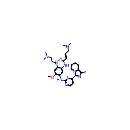 COc1cc(N(C)CCN(C)C)c(NC(=O)/C=C/CN(C)C)cc1Nc1nccc(-c2nc(C)c3ccccn23)n1